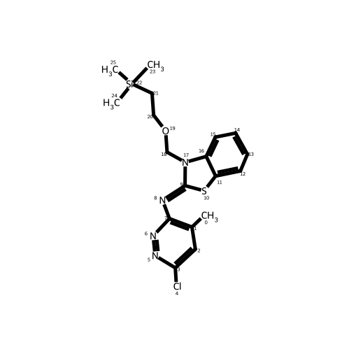 Cc1cc(Cl)nnc1/N=c1\sc2ccccc2n1COCC[Si](C)(C)C